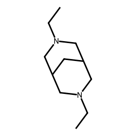 CCN1CC2CC(C1)CN(CC)C2